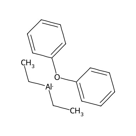 C[CH2][Al][CH2]C.c1ccc(Oc2ccccc2)cc1